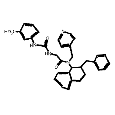 O=C(NCC(=O)N(Cc1ccncc1)C1c2ccccc2CCC1Cc1ccccc1)Nc1cccc(C(=O)O)c1